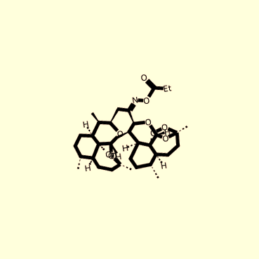 CCC(=O)O/N=C(/C[C@H]1O[C@@H]2O[C@]3(C)CC[C@H]4[C@H](C)CC[C@@H]([C@H]1C)[C@@]24OO3)[C@H]1O[C@@H]2O[C@]3(C)CC[C@H]4[C@H](C)CC[C@@H]([C@H]1C)[C@@]24OO3